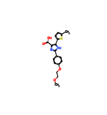 COCCOc1ccc(-c2nc(C(=O)O)c(-c3ccc(C)s3)[nH]2)cc1